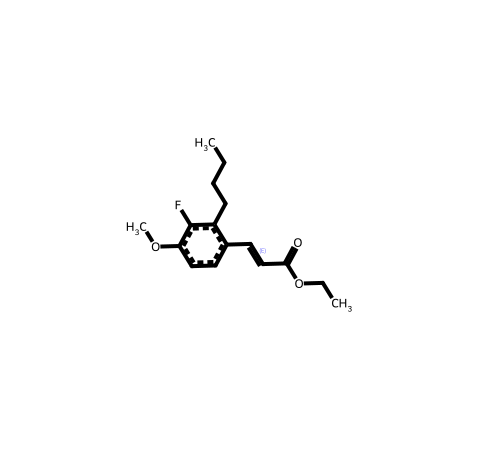 CCCCc1c(/C=C/C(=O)OCC)ccc(OC)c1F